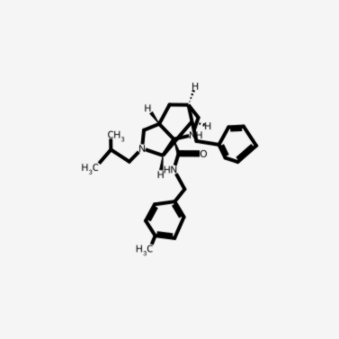 Cc1ccc(CNC(=O)[C@]23NC[C@@H]4C[C@H]2CN(CC(C)C)[C@H]3[C@@H]4Cc2ccccc2)cc1